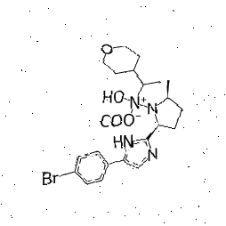 CC(C1CCOCC1)[N+](O)(C(=O)[O-])N1[C@@H](C)CC[C@H]1c1ncc(-c2ccc(Br)cc2)[nH]1